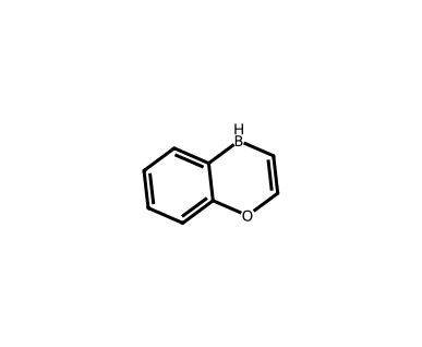 B1C=COc2ccccc21